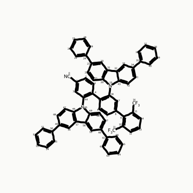 N#Cc1ccc(-c2ccc(-c3c(C(F)(F)F)cccc3C(F)(F)F)cc2-n2c3ccc(-c4ccccc4)cc3c3cc(-c4ccccc4)ccc32)c(-n2c3ccc(-c4ccccc4)cc3c3cc(-c4ccccc4)ccc32)c1